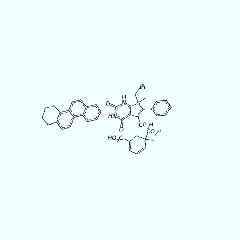 CC(C)CS1(C)C(c2ccccc2)=C(C(=O)O)c2c1[nH]c(=O)[nH]c2=O.CC1(C(=O)O)C=CC=C(C(=O)O)C1.c1ccc2c(c1)ccc1c3c(ccc12)CCCC3